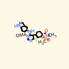 COc1cc2[nH]ncc2cc1Nc1ncnc2sc3c(c12)CC[C@H](C(=O)N(C)S(C)(=O)=O)C3